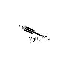 BC#N.[MgH2]